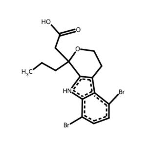 CCCC1(CC(=O)O)OCCc2c1[nH]c1c(Br)ccc(Br)c21